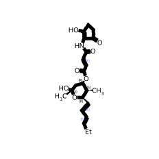 CC/C=C/C=C/[C@H]1O[C@](C)(O)C[C@@H](OC(=O)/C=C/C(=O)NC2=C(O)CCC2=O)[C@@H]1C